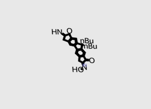 CCCCC1(CCCC)c2cc3c(cc2-c2cc4c(cc21)C(=O)/C(=N/O)C4)CC(=N)C3=O